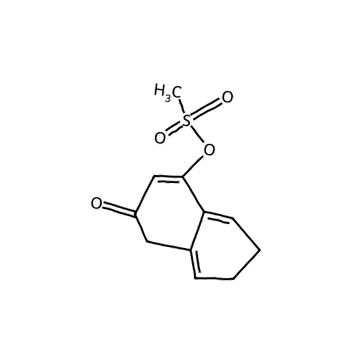 CS(=O)(=O)OC1=CC(=O)CC2=CCCC=C21